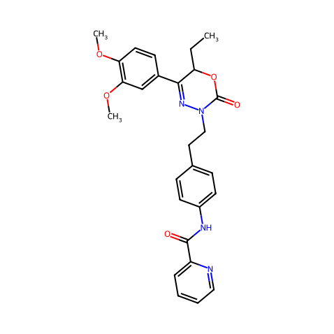 CCC1OC(=O)N(CCc2ccc(NC(=O)c3ccccn3)cc2)N=C1c1ccc(OC)c(OC)c1